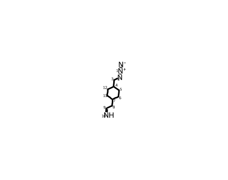 [N-]=[N+]=NCC1CCC(CC=N)CC1